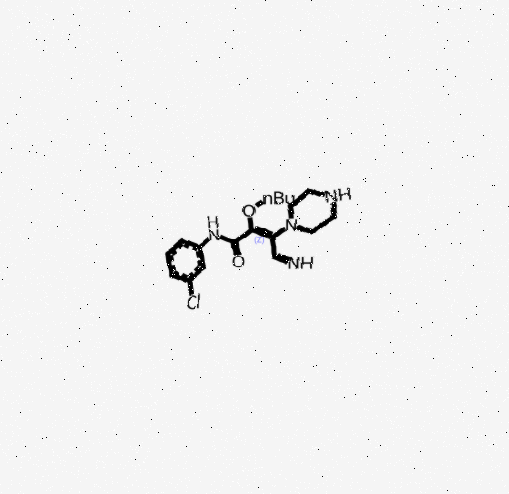 CCCCO/C(C(=O)Nc1cccc(Cl)c1)=C(/C=N)N1CCNCC1